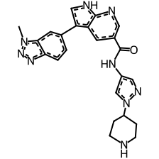 Cn1nnc2ccc(-c3c[nH]c4ncc(C(=O)Nc5cnn(C6CCNCC6)c5)cc34)cc21